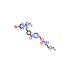 CCCCNC(=O)OCCN1CCCN(C(=O)C2CCC(CCN(C)c3ncc(Br)cn3)CC2)CC1